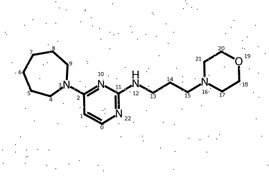 c1cc(N2CCCCCC2)nc(NCCCN2CCOCC2)n1